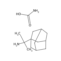 CC(C)(N)C12CC3CC(CC(C3)C1)C2.NC(=O)O